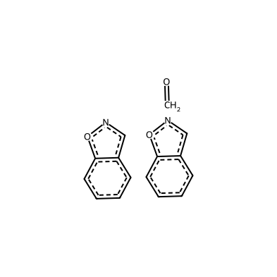 C=O.c1ccc2oncc2c1.c1ccc2oncc2c1